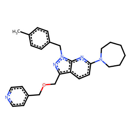 Cc1ccc(Cn2nc(COCc3ccncc3)c3ccc(N4CCCCCC4)nc32)cc1